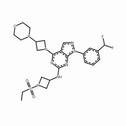 CCS(=O)(=O)N1CC(Nc2nc(N3CC(N4CCOCC4)C3)c3cnn(-c4cccc(C(F)F)c4)c3n2)C1